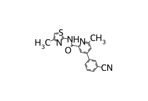 Cc1cc(-c2cccc(C#N)c2)cc(C(=O)Nc2nc(C)cs2)n1